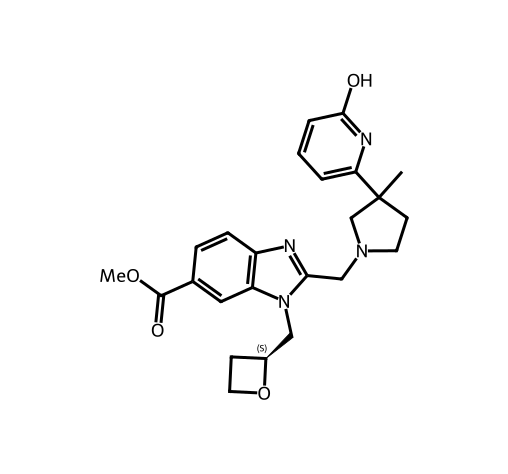 COC(=O)c1ccc2nc(CN3CCC(C)(c4cccc(O)n4)C3)n(C[C@@H]3CCO3)c2c1